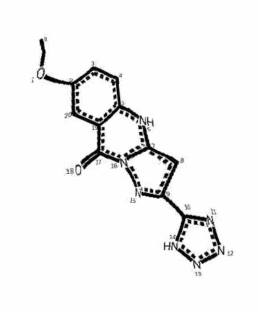 COc1ccc2[nH]c3cc(-c4nnn[nH]4)nn3c(=O)c2c1